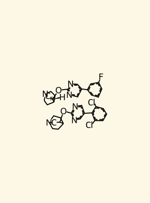 Clc1cccc(Cl)c1-c1cnc(OC2CN3CCC2CC3)nc1.Fc1cccc(-c2cnc(O[C@H]3CN4CCC3CC4)nc2)c1